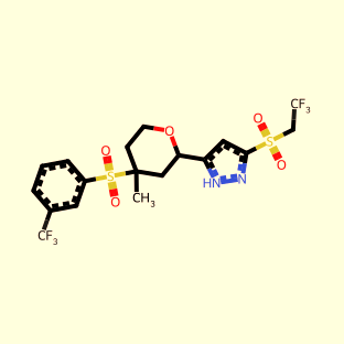 CC1(S(=O)(=O)c2cccc(C(F)(F)F)c2)CCOC(c2cc(S(=O)(=O)CC(F)(F)F)n[nH]2)C1